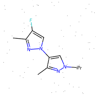 Cc1nn(-c2cn(C(C)C)nc2C)cc1F